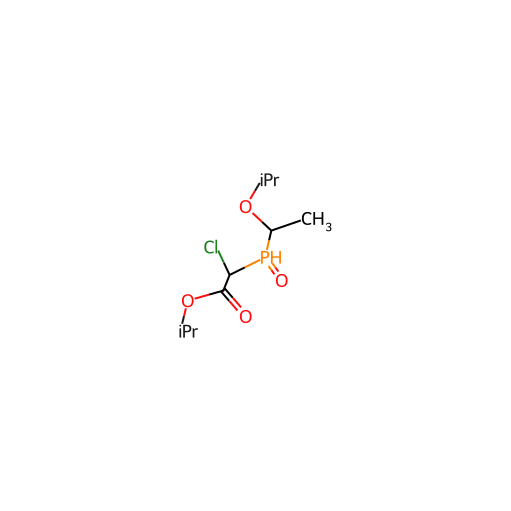 CC(C)OC(=O)C(Cl)[PH](=O)C(C)OC(C)C